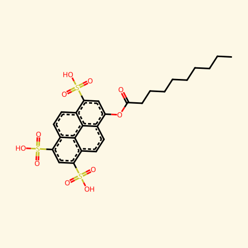 CCCCCCCCCC(=O)Oc1cc(S(=O)(=O)O)c2ccc3c(S(=O)(=O)O)cc(S(=O)(=O)O)c4ccc1c2c43